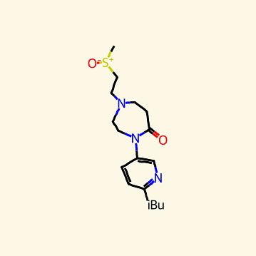 CCC(C)c1ccc(N2CCN(CC[S+](C)[O-])CCC2=O)cn1